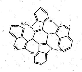 Cn1c2c(c3ccccc31)C(c1c(O)ccc3ccccc13)c1c(c3ccccc3n1C)C2c1c(O)ccc2ccccc12